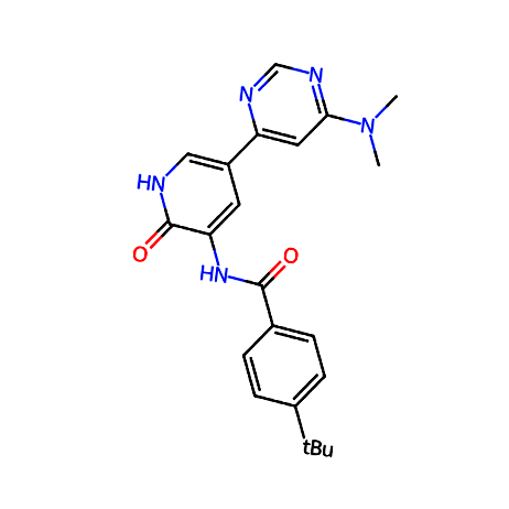 CN(C)c1cc(-c2c[nH]c(=O)c(NC(=O)c3ccc(C(C)(C)C)cc3)c2)ncn1